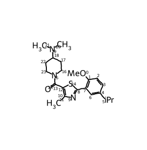 COc1ccc(C(C)C)cc1-c1nc(C)c(C(=O)N2CCC(N(C)C)CC2)s1